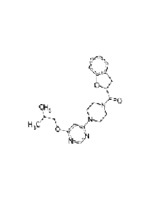 CC(C)COc1cc(N2CCN(C(=O)C3Cc4ccccc4O3)CC2)ncn1